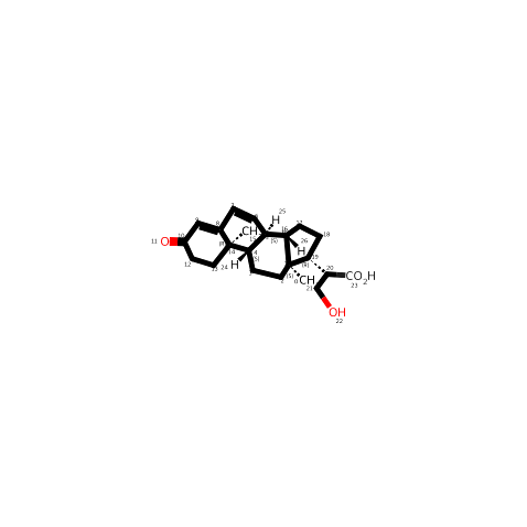 C[C@]12CC[C@H]3[C@@H](C=CC4=CC(=O)CC[C@@]43C)[C@@H]1CC[C@@H]2C(CO)C(=O)O